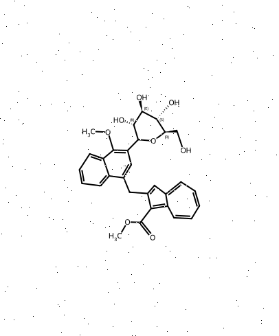 COC(=O)c1c(Cc2cc(C3O[C@H](CO)[C@@H](O)[C@H](O)[C@H]3O)c(OC)c3ccccc23)cc2cccccc1-2